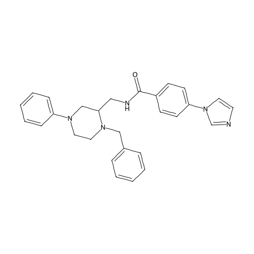 O=C(NCC1CN(c2ccccc2)CCN1Cc1ccccc1)c1ccc(-n2ccnc2)cc1